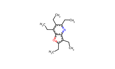 CCc1nc2c(CC)c(CC)oc2c(CC)c1CC